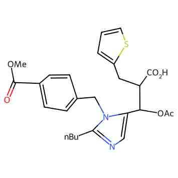 CCCCc1ncc(C(OC(C)=O)C(Cc2cccs2)C(=O)O)n1Cc1ccc(C(=O)OC)cc1